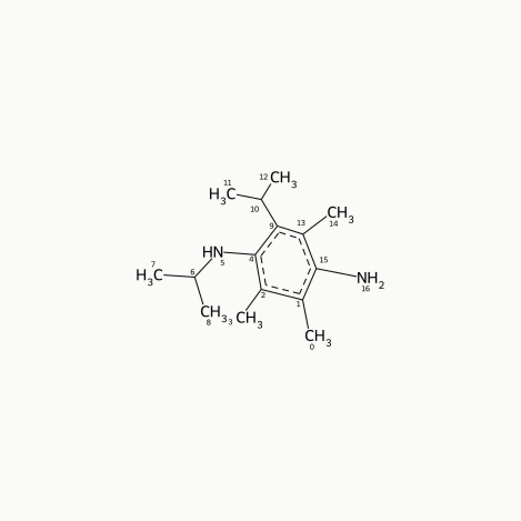 Cc1c(C)c(NC(C)C)c(C(C)C)c(C)c1N